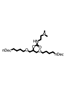 CCCCCCCCCCCCCCOCC(COCCCCCCCCCCCCCC)OC(=O)NCCN(C)C